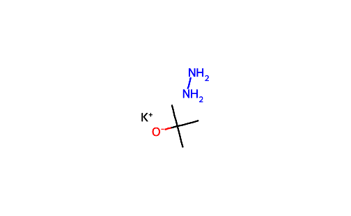 CC(C)(C)[O-].NN.[K+]